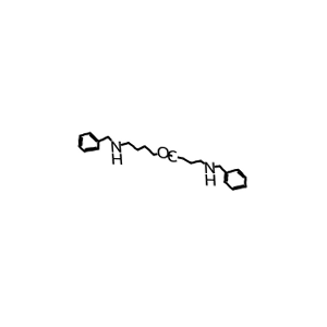 c1ccc(CNCCCCOCCCCNCc2ccccc2)cc1